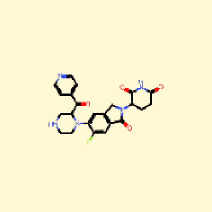 O=C1CCC(N2Cc3cc(N4CCNCC4C(=O)c4ccncc4)c(F)cc3C2=O)C(=O)N1